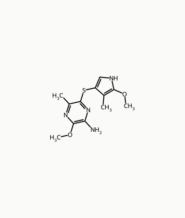 COc1nc(C)c(Sc2c[nH]c(OC)c2C)nc1N